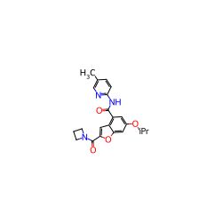 Cc1ccc(NC(=O)c2cc(OC(C)C)cc3oc(C(=O)N4CCC4)cc23)nc1